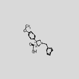 COc1ccc([C@H]2CN(Cc3ccccc3)C[C@@H]2C(=O)O)cc1